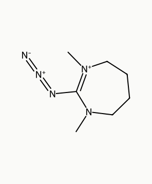 CN1CCCC[N+](C)=C1N=[N+]=[N-]